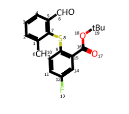 Cc1cccc(C=O)c1Sc1ccc(F)cc1C(=O)OC(C)(C)C